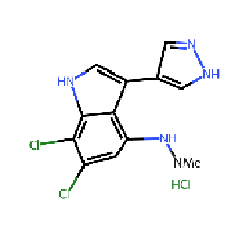 CNNc1cc(Cl)c(Cl)c2[nH]cc(-c3cn[nH]c3)c12.Cl